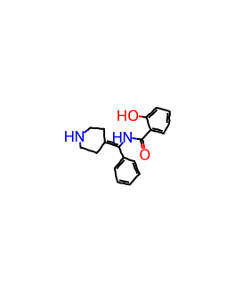 O=C(NC(=C1CCNCC1)c1ccccc1)c1ccccc1O